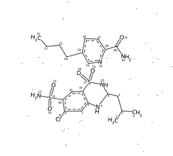 CC(C)CC1Nc2cc(Cl)c(S(N)(=O)=O)cc2S(=O)(=O)N1.CCCCc1ccc(C(N)=O)nc1